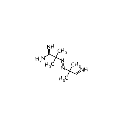 CC(C)(C=N)N=NC(C)(C)C(=N)N